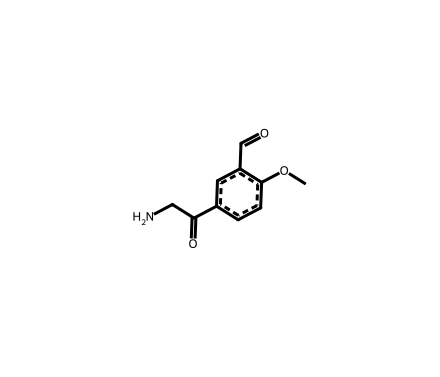 COc1ccc(C(=O)CN)cc1C=O